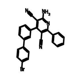 N#Cc1c(N)nc(-c2ccccc2)c(C#N)c1-c1cccc(-c2ccc(Br)cc2)c1